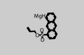 C=CCOS(=O)(=O)c1cccc2cc3ccccc3cc12.[MgH2]